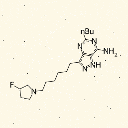 CCCCc1nc(N)c2[nH]nc(CCCCCCN3CCC(F)C3)c2n1